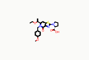 C=C(OCC)c1cc2sc(N3CCC[C@@H]3C(=O)O)nc2c(=O)n1Cc1ccc(OC)cc1